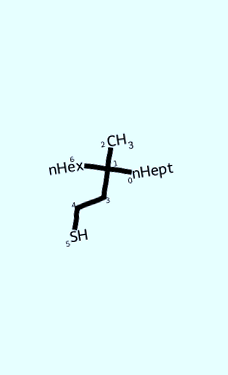 CCCCCCCC(C)(CCS)CCCCCC